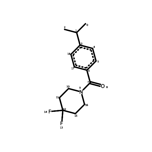 CC(C)c1ccc(C(=O)N2CCC(F)(F)CC2)cc1